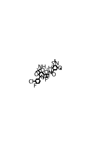 COc1cc(C(=O)NCC(O)(c2cc3c(c(-c4ccc(F)c(Cl)c4)n2)OC[C@]3(C)C(N)=O)C(F)(F)F)cc2sc(C)nc12